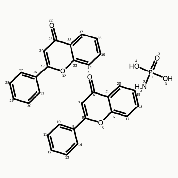 NP(=O)(O)O.O=c1cc(-c2ccccc2)oc2ccccc12.O=c1cc(-c2ccccc2)oc2ccccc12